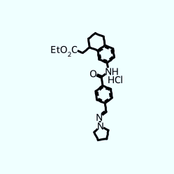 CCOC(=O)CC1CCCc2ccc(NC(=O)c3ccc(C=NN4CCCC4)cc3)cc21.Cl